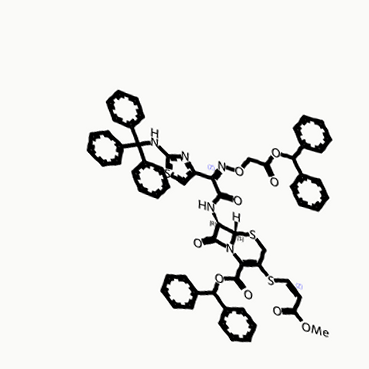 COC(=O)/C=C\SC1=C(C(=O)OC(c2ccccc2)c2ccccc2)N2C(=O)[C@@H](NC(=O)/C(=N\OCC(=O)OC(c3ccccc3)c3ccccc3)c3csc(NC(c4ccccc4)(c4ccccc4)c4ccccc4)n3)[C@@H]2SC1